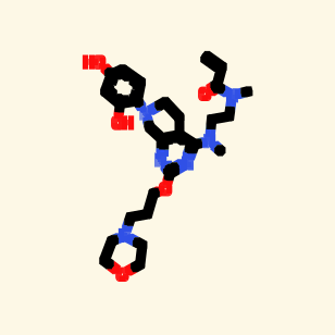 C=CC(=O)N(C)CCN(C)c1nc(OCCCN2CCOCC2)nc2c1CCN(c1ccc(O)cc1O)C2